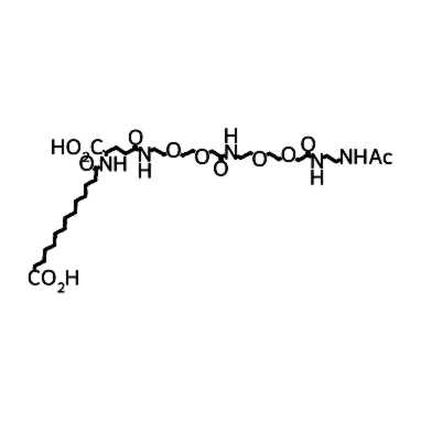 [CH2]C(=O)NCCNC(=O)COCCOCCNC(=O)COCCOCCNC(=O)CC[C@H](NC(=O)CCCCCCCCCCCCC(=O)O)C(=O)O